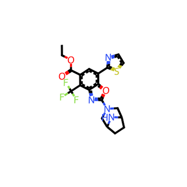 CCOC(=O)c1cc(-c2nccs2)c2oc(N3CC4CCC(C3)N4)nc2c1C(F)(F)F